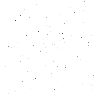 O=C(O)C1(c2ccccc2C(F)(F)F)CCCN1